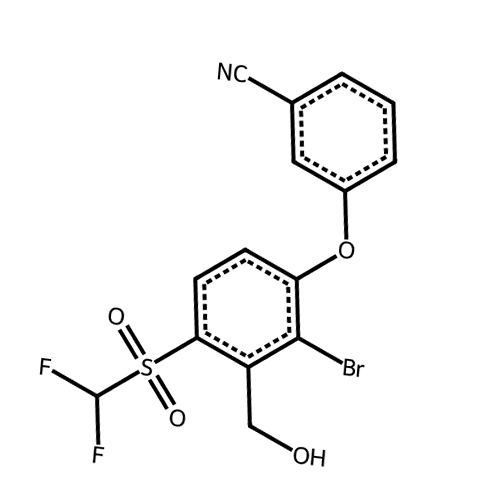 N#Cc1cccc(Oc2ccc(S(=O)(=O)C(F)F)c(CO)c2Br)c1